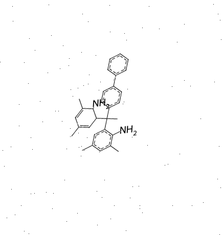 CC1=CC(C(C)(c2ccc(-c3ccccc3)cc2)c2cc(C)cc(C)c2N)C(N)C(C)=C1